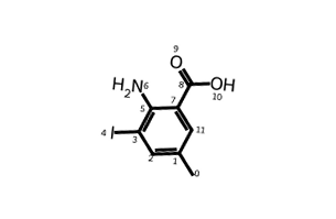 Cc1cc(I)c(N)c(C(=O)O)c1